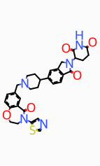 O=C1CCC(N2Cc3cc(C4CCN(Cc5ccc6c(c5)C(=O)N(c5cncs5)CCO6)CC4)ccc3C2=O)C(=O)N1